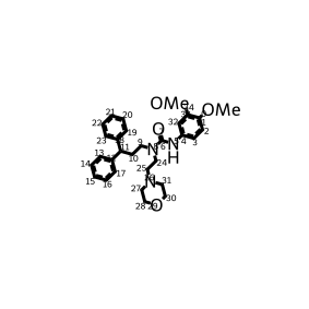 COc1ccc(NC(=O)N(CCC(c2ccccc2)c2ccccc2)CCN2CCOCC2)cc1OC